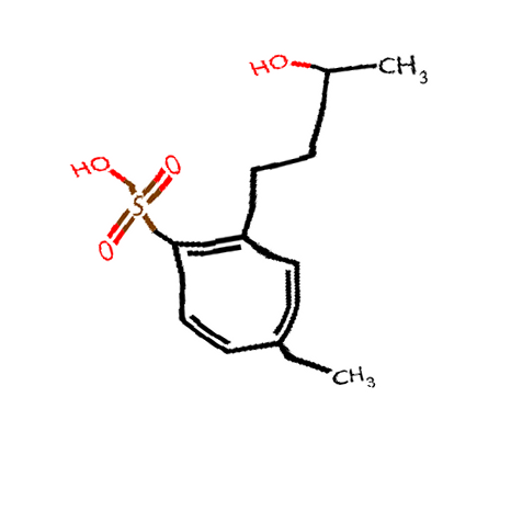 Cc1ccc(S(=O)(=O)O)c(CCC(C)O)c1